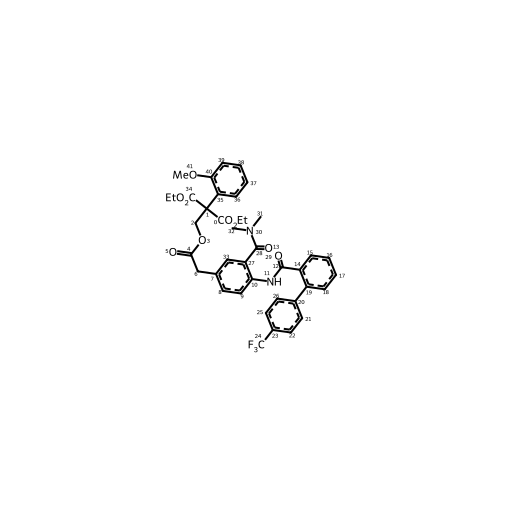 CCOC(=O)C(COC(=O)Cc1ccc(NC(=O)c2ccccc2-c2ccc(C(F)(F)F)cc2)c(C(=O)N(C)C)c1)(C(=O)OCC)c1ccccc1OC